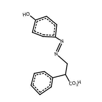 O=C(O)C(CN=Nc1ccc(O)cc1)c1ccccc1